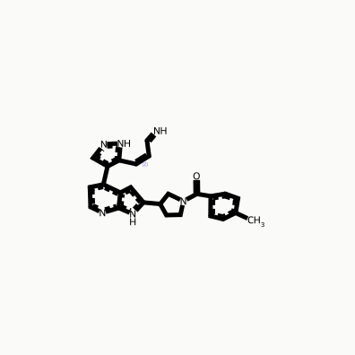 Cc1ccc(C(=O)N2CCC(c3cc4c(-c5cn[nH]c5/C=C\C=N)ccnc4[nH]3)C2)cc1